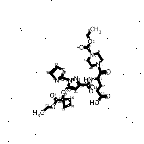 CCOC(=O)N1CCN(C(=O)C(CCC(=O)O)NC(=O)c2cc(OC3(C(=O)OCC)CCC3)n(-c3nccs3)n2)CC1